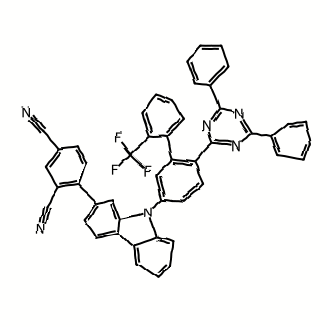 N#Cc1ccc(-c2ccc3c4ccccc4n(-c4ccc(-c5nc(-c6ccccc6)nc(-c6ccccc6)n5)c(-c5ccccc5C(F)(F)F)c4)c3c2)c(C#N)c1